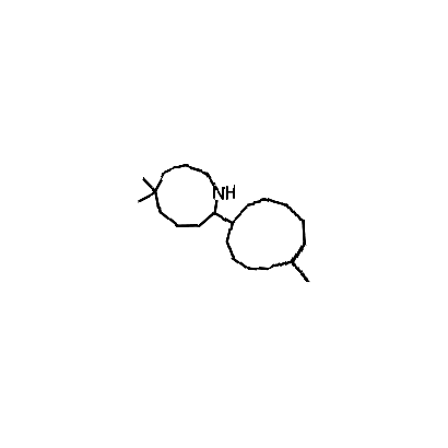 CC1CCCCCC(C2CCCC(C)(C)CCCN2)CCCC1